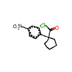 O=C(Cl)C1(c2ccc([N+](=O)[O-])cc2)CCCC1